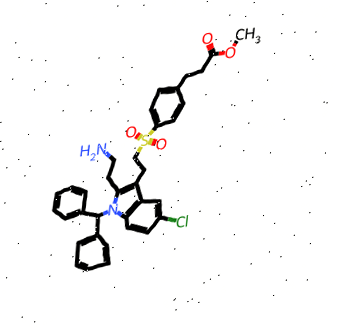 COC(=O)CCc1ccc(S(=O)(=O)CCc2c(CCN)n(C(c3ccccc3)c3ccccc3)c3ccc(Cl)cc23)cc1